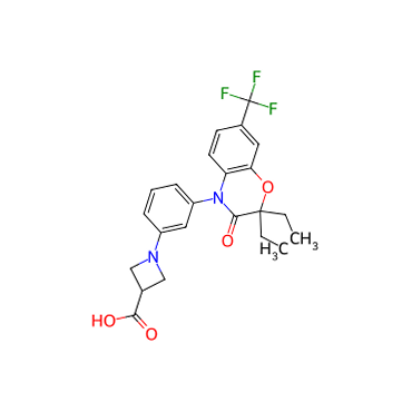 CCC1(CC)Oc2cc(C(F)(F)F)ccc2N(c2cccc(N3CC(C(=O)O)C3)c2)C1=O